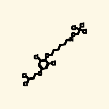 ClC(Cl)=CCOc1cc(Cl)c(OCCCCC/C=N/OCC(Cl)(Cl)Cl)c(Cl)c1